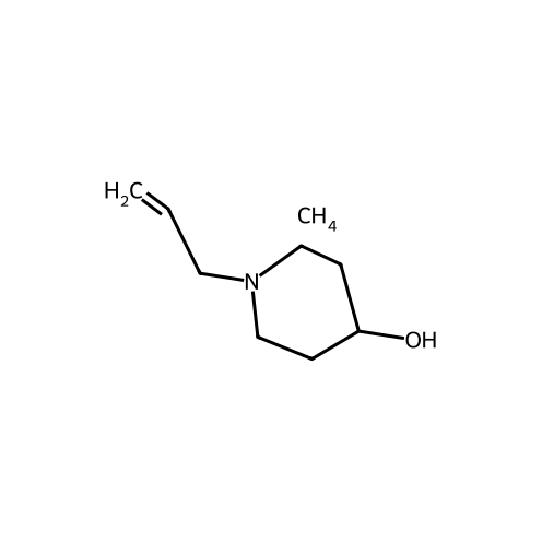 C.C=CCN1CCC(O)CC1